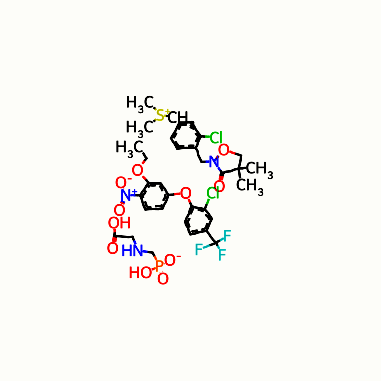 CC1(C)CON(Cc2ccccc2Cl)C1=O.CCOc1cc(Oc2ccc(C(F)(F)F)cc2Cl)ccc1[N+](=O)[O-].C[S+](C)C.O=C(O)CNCP(=O)([O-])O